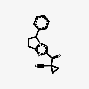 N#CC1(C(=O)c2nc3n(n2)C(c2ccccc2)CC3)CC1